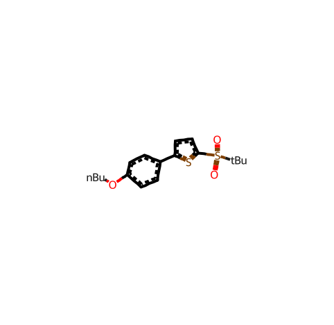 CCCCOc1ccc(-c2ccc(S(=O)(=O)C(C)(C)C)s2)cc1